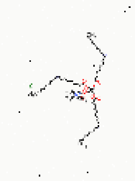 CCCCCCCC/C=C\CCCCCCCC(=O)OCC(COC(=O)CCCCCCC/C=C\CCCCCCCC)(COC(=O)CCCCCCC/C=C\CCCCCCCC)COC(O)C[N+](C)(C)C.[Cl-]